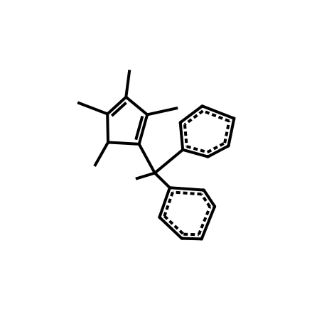 CC1=C(C)C(C)C(C(C)(c2ccccc2)c2ccccc2)=C1C